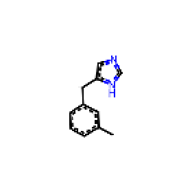 Cc1cccc([CH]c2cnc[nH]2)c1